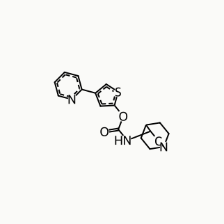 O=C(NC1CN2CCC1CC2)Oc1cc(-c2ccccn2)cs1